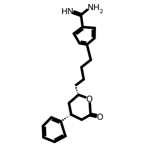 N=C(N)c1ccc(CCCC[C@H]2C[C@@H](c3ccccc3)CC(=O)O2)cc1